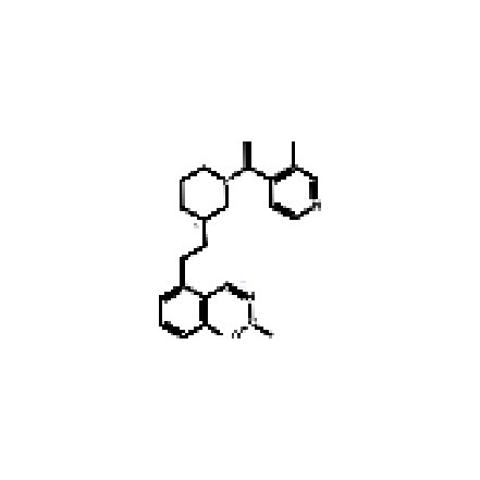 C=C(c1ccncc1C)N1CCC[C@H](CCc2cccc(C)c2/C=N\[S+](C)[O-])C1